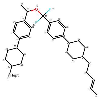 C/C=C/CCC1CCC(c2ccc(C(F)(F)OC(C)c3ccc(C4CCC(CCCCCCC)CC4)cc3)cc2)CC1